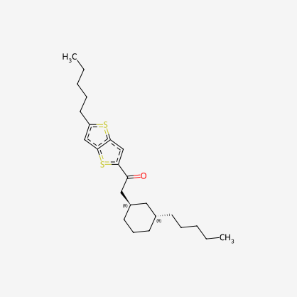 CCCCCc1cc2sc(C(=O)C[C@@H]3CCC[C@@H](CCCCC)C3)cc2s1